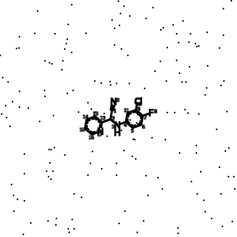 N#CC(Nc1ccc(F)c(Cl)c1)c1ccccn1